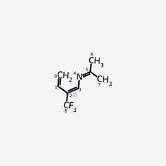 C=C/C(=C\N=C(C)C)C(F)(F)F